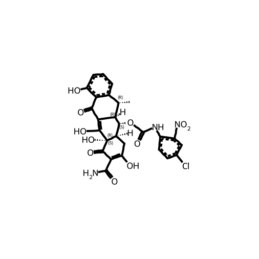 C[C@H]1c2cccc(O)c2C(=O)C2=C(O)[C@]3(O)C(=O)C(C(N)=O)=C(O)C[C@@H]3[C@@H](OC(=O)Nc3ccc(Cl)cc3[N+](=O)[O-])[C@@H]21